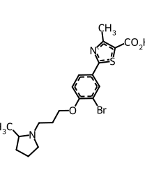 Cc1nc(-c2ccc(OCCCN3CCCC3C)c(Br)c2)sc1C(=O)O